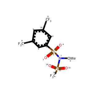 CON(S(=O)(=O)c1cc(C(F)(F)F)cc(C(F)(F)F)c1)S(=O)(=O)C(F)(F)F